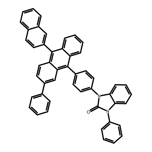 O=c1n(-c2ccccc2)c2ccccc2n1-c1ccc(-c2c3ccccc3c(-c3ccc4ccccc4c3)c3ccc(-c4ccccc4)cc23)cc1